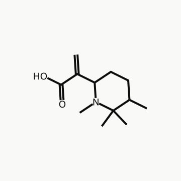 C=C(C(=O)O)C1CCC(C)C(C)(C)N1C